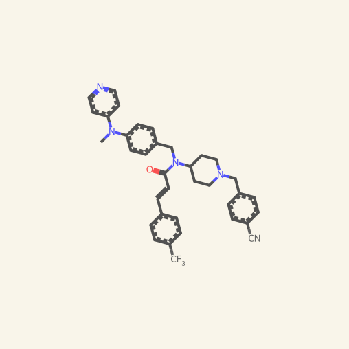 CN(c1ccncc1)c1ccc(CN(C(=O)/C=C/c2ccc(C(F)(F)F)cc2)C2CCN(Cc3ccc(C#N)cc3)CC2)cc1